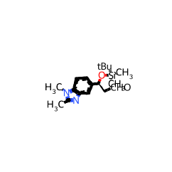 Cc1nc2cc([C@H](CC=O)O[Si](C)(C)C(C)(C)C)ccc2n1C